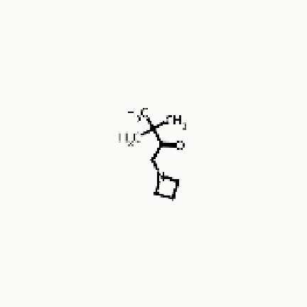 CC(C)(C)C(=O)CN1CCC1